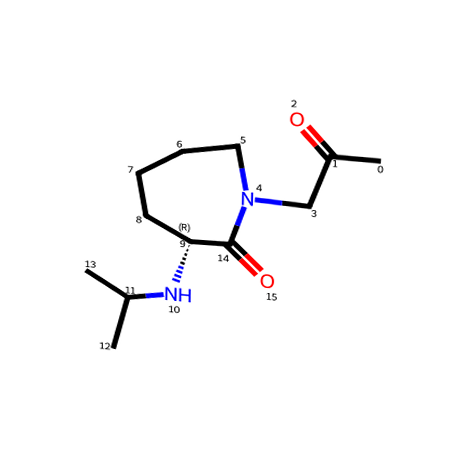 CC(=O)CN1CCCC[C@@H](NC(C)C)C1=O